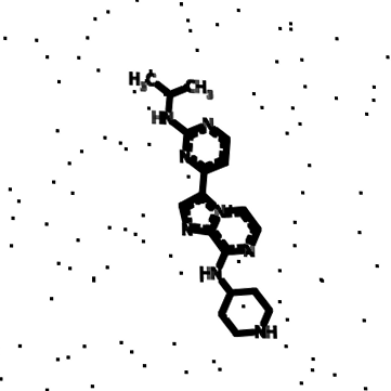 CC(C)Nc1nccc(-c2cnc3c(NC4CCNCC4)nccn23)n1